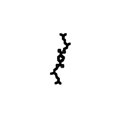 CC(C)=CCCC(C)CCOC(=O)c1ccc(C(=O)OCCC(C)CCC=C(C)C)cc1